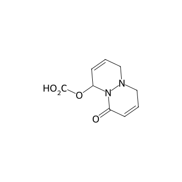 O=C(O)OC1C=CCN2CC=CC(=O)N12